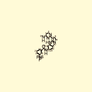 CNc1ccnc(-n2ccnc2Nc2cc(NC(=O)c3cccc(C(F)(F)F)c3)ccc2C)n1